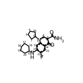 NC(=O)c1cn(C2CCCC2)c2cc(NC3CCCCC3)c(F)cc2c1=O